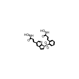 O=C(C=Cc1cnc2c(ccn2S(=O)(=O)c2ccccc2C=CC(=O)NO)c1)NO